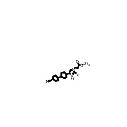 COC(=O)CCn1cc(-c2ccc(-c3ccc(C#N)cc3)cc2)[nH]c1=S